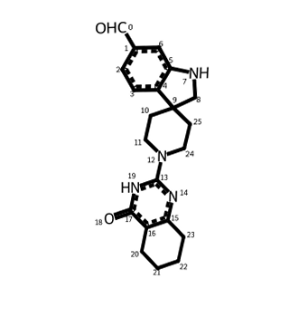 O=Cc1ccc2c(c1)NCC21CCN(c2nc3c(c(=O)[nH]2)CCCC3)CC1